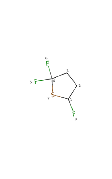 FC1CCC(F)(F)S1